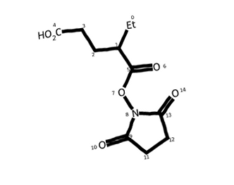 CCC(CCC(=O)O)C(=O)ON1C(=O)CCC1=O